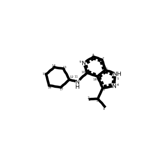 CC(C)c1n[nH]c2ccnc(NC3CCCCC3)c12